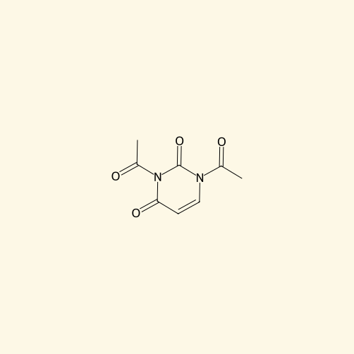 CC(=O)n1ccc(=O)n(C(C)=O)c1=O